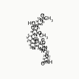 COc1nc(-c2cccc(-c3ccnc(-c4cc(OC)c5nc(CN6CC7(CNC(=O)C7)C6)nn5c4)c3Cl)c2Cl)ccc1CN(C(=O)O)C1CCN(C(C)=O)CC1